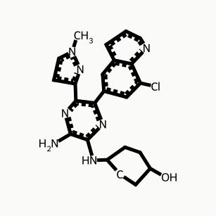 Cn1ccc(-c2nc(N)c(NC3CCC(O)CC3)nc2-c2cc(Cl)c3ncccc3c2)n1